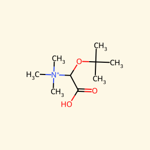 CC(C)(C)OC(C(=O)O)[N+](C)(C)C